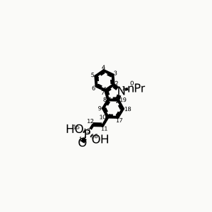 CCCn1c2ccccc2c2cc(C=CP(=O)(O)O)ccc21